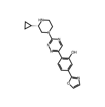 Oc1cc(-c2ncco2)ccc1-c1cnc(N2CCN[C@@H](C3CC3)C2)nn1